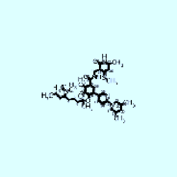 CCCC(CCCC1(C)Oc2c(-c3ccc(N4CC(C)CC(C)C4)nc3)cc(C(=O)NCc3c(SC)cc(C)[nH]c3=O)c(C)c2O1)N(C)C